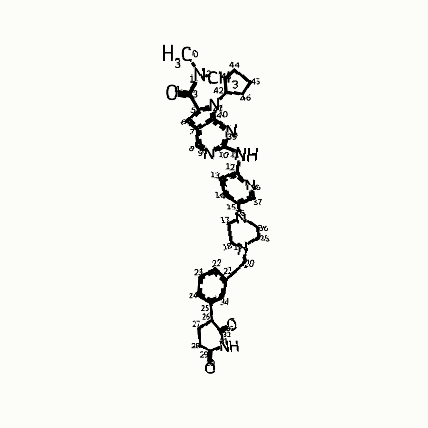 CN(C)C(=O)c1cc2cnc(Nc3ccc(N4CCN(Cc5cccc(C6CCC(=O)NC6=O)c5)CC4)cn3)nc2n1C1CCCC1